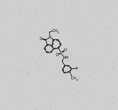 CCN1C(=O)c2cccc3c(S(=O)(=O)NCc4ccc(C)c(F)c4)ccc1c23